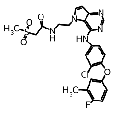 Cc1cc(Oc2ccc(Nc3ncnc4ccn(CCNC(=O)CS(C)(=O)=O)c34)cc2Cl)ccc1F